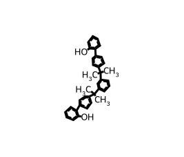 CC(C)(c1ccc(-c2ccccc2O)cc1)c1cccc(C(C)(C)c2ccc(-c3ccccc3O)cc2)c1